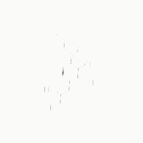 CC1C(C[C@H](O)CF)C=CC([S+]([O-])CCF)C1C